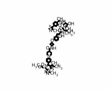 COC(=O)C[C@@H]1N=C(c2ccc(N3CCC(C(=O)N[C@H]4C[C@H](Oc5ccc6oc(C(=O)NC(C(=O)N7C[C@H](O)C[C@H]7C(=O)N[C@@H](C)c7ccc(-c8scnc8C)cc7)C(C)(C)C)cc6c5)C4)CC3)cc2)c2c(sc(C)c2C)-n2c(C)nnc21